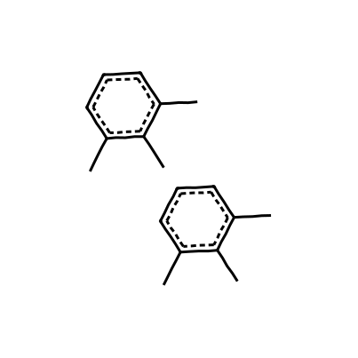 Cc1cccc(C)c1C.Cc1cccc(C)c1C